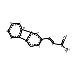 O=C(O)/C=C/c1ccc2c(c1)-c1ccccc1-2